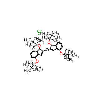 CC(C)(C)[Si](C)(C)Oc1cccc2c1C=[C]([Zr+2][C]1=Cc3c(O[Si](C)(C)C(C)(C)C)cccc3C1O[Si](C)(C)C(C)(C)C)C2O[Si](C)(C)C(C)(C)C.[Cl-].[Cl-]